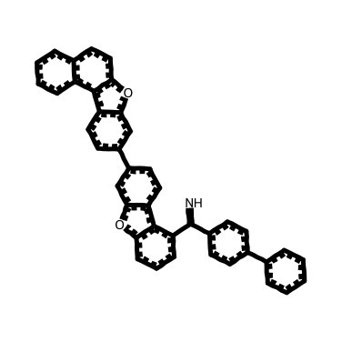 N=C(c1ccc(-c2ccccc2)cc1)c1cccc2oc3cc(-c4ccc5c(c4)oc4ccc6ccccc6c45)ccc3c12